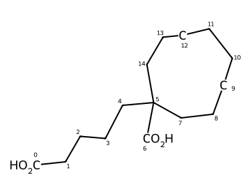 O=C(O)CCCCC1(C(=O)O)CCCCCCCC1